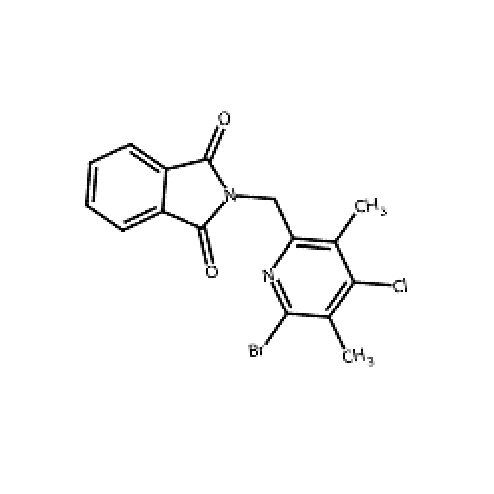 Cc1c(Br)nc(CN2C(=O)c3ccccc3C2=O)c(C)c1Cl